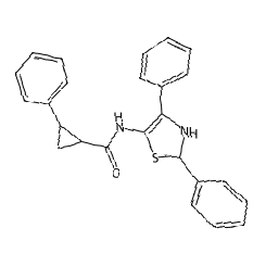 O=C(NC1=C(c2ccccc2)NC(c2ccccc2)S1)C1CC1c1ccccc1